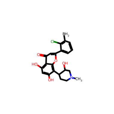 Bc1cccc(-c2cc(=O)c3c(O)cc(O)c(C4CCN(C)CC4O)c3o2)c1Cl